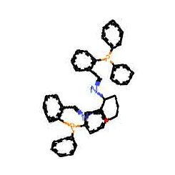 C(=N\C1CCCCC1/N=C/c1ccccc1P(c1ccccc1)c1ccccc1)/c1ccccc1P(c1ccccc1)c1ccccc1